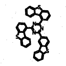 c1ccc2c(c1)sc1ccc(-c3nc(-c4cccc5sc6ccccc6c45)nc(-c4cccc5sc6ccccc6c45)n3)cc12